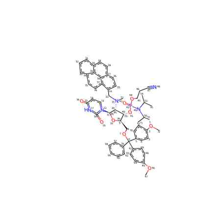 COc1ccc(C(OC[C@H]2O[C@@H](n3ccc(=O)[nH]c3=O)[C@H](N(C)Cc3ccc4ccc5cccc6ccc3c4c56)[C@@H]2OP(=O)(OCCC#N)N(C(C)C)C(C)C)(c2ccccc2)c2ccc(OC)cc2)cc1